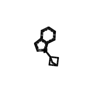 c1ccc2c(c1)ccn2C12CC(C1)C2